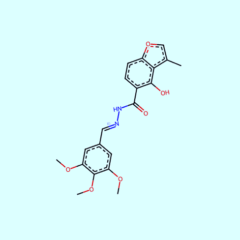 COc1cc(/C=N/NC(=O)c2ccc3occ(C)c3c2O)cc(OC)c1OC